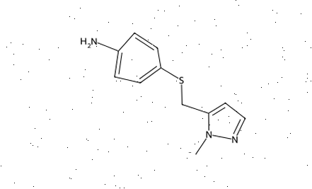 Cn1nccc1CSc1ccc(N)cc1